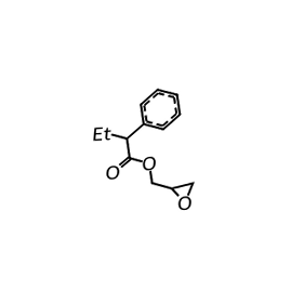 CCC(C(=O)OCC1CO1)c1ccccc1